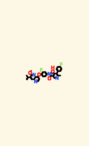 C=C(C)c1cc2nccc(Oc3ccc(NC(=O)c4cnc(C)c(-c5ccc(F)cc5)c4O)cc3F)c2nc1OC